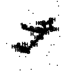 O=C(O)CCC(NC(=O)NC(CCCCNC(=O)CCCCCNC(=O)CCC(NC(=O)CN1CCN(CC(=O)O)CCN(CC(=O)O)CCN(CC(=O)O)CC1)C(=O)NC(CCCCNC(=O)CCCc1ccc(I)cc1)C(=O)O)C(=O)O)C(=O)O